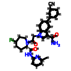 Cc1cccc(NC(=O)[C@@H]2CCC(F)CCN2C(=O)Cn2cc(C(N)=O)c3cc(-c4cccc(C#N)c4)ccc32)n1